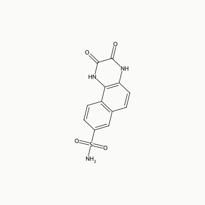 NS(=O)(=O)c1ccc2c(ccc3[nH]c(=O)c(=O)[nH]c32)c1